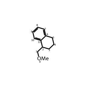 COCC1CCCc2ccccc21